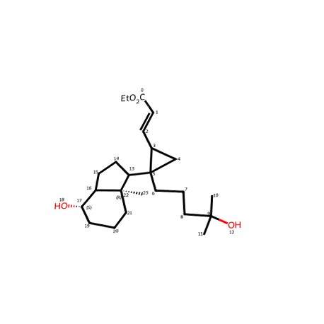 CCOC(=O)C=CC1CC1(CCCC(C)(C)O)C1CCC2[C@@H](O)CCC[C@@]21C